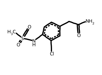 CS(=O)(=O)Nc1ccc(CC(N)=O)cc1Cl